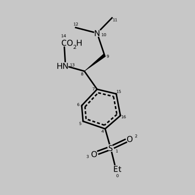 CCS(=O)(=O)c1ccc([C@H](CN(C)C)NC(=O)O)cc1